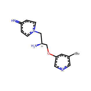 CC(C)(C)c1cncc(OC[C@@H](N)Cn2ccc(=N)cc2)c1